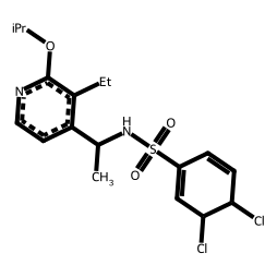 CCc1c(C(C)NS(=O)(=O)C2=CC(Cl)C(Cl)C=C2)ccnc1OC(C)C